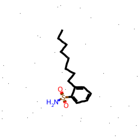 CCCCCCCCc1ccccc1S(N)(=O)=O